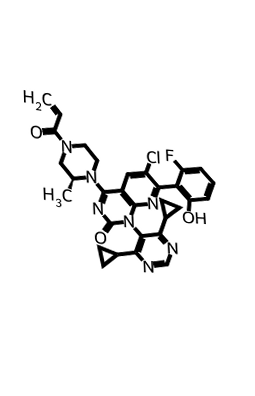 C=CC(=O)N1CCN(c2nc(=O)n(-c3c(C4CC4)ncnc3C3CC3)c3nc(-c4c(O)cccc4F)c(Cl)cc23)[C@@H](C)C1